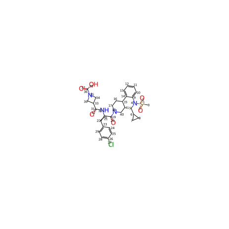 CS(=O)(=O)N(CC1CC1)c1ccccc1C1CCN(C(=O)[C@@H](Cc2ccc(Cl)cc2)NC(=O)C2CN(C(=O)O)C2)CC1